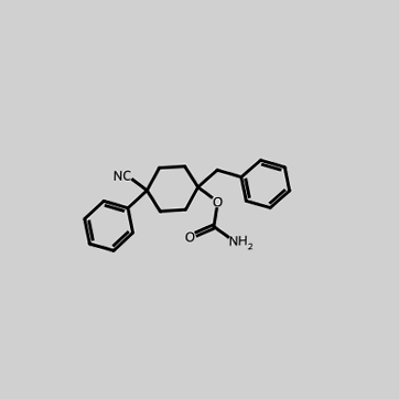 N#CC1(c2ccccc2)CCC(Cc2ccccc2)(OC(N)=O)CC1